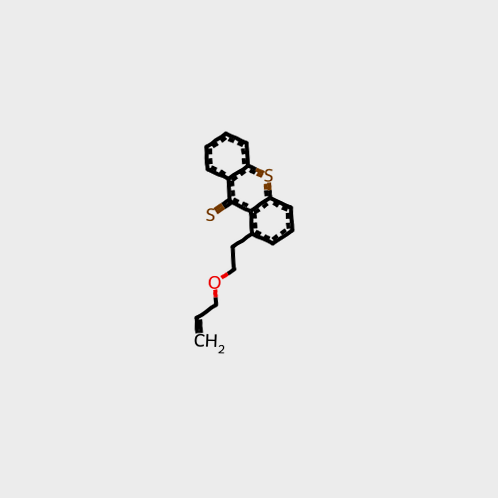 C=CCOCCc1cccc2sc3ccccc3c(=S)c12